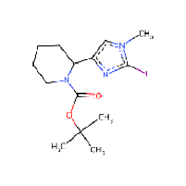 Cn1cc(C2CCCCN2C(=O)OC(C)(C)C)nc1I